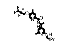 Cc1cc(C(C)NC(=O)c2cc(C)c(OCC(F)(F)C(F)F)cn2)cc(NCC(C)C)n1